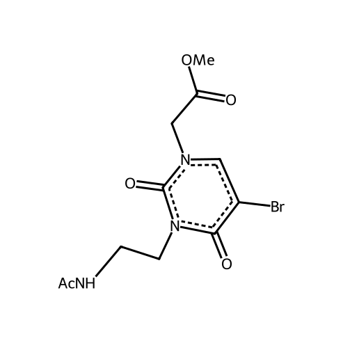 COC(=O)Cn1cc(Br)c(=O)n(CCNC(C)=O)c1=O